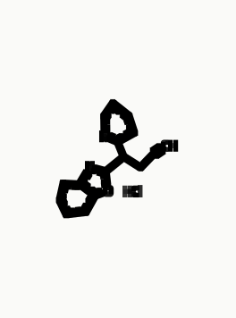 C#CCC(c1ccccn1)c1nc2ccccc2o1.Cl